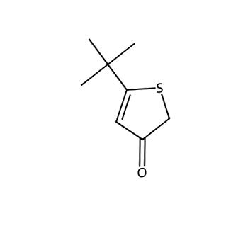 CC(C)(C)C1=CC(=O)CS1